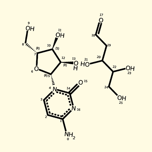 Nc1ccn([C@@H]2O[C@H](CO)[C@@H](O)[C@H]2O)c(=O)n1.O=CCC(O)C(O)CO